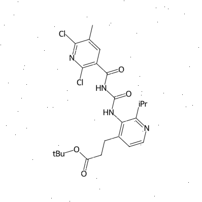 Cc1cc(C(=O)NC(=O)Nc2c(CCC(=O)OC(C)(C)C)ccnc2C(C)C)c(Cl)nc1Cl